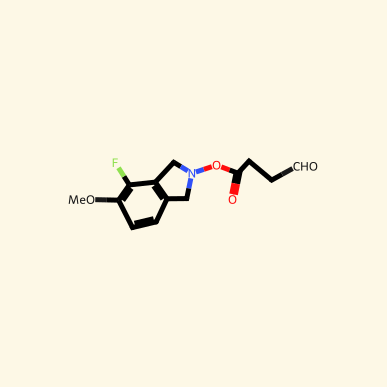 COc1ccc2c(c1F)CN(OC(=O)CCC=O)C2